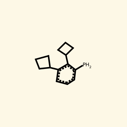 Pc1cccc(C2CCC2)c1C1CCC1